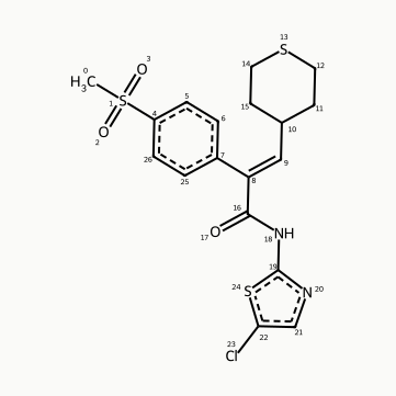 CS(=O)(=O)c1ccc(/C(=C\C2CCSCC2)C(=O)Nc2ncc(Cl)s2)cc1